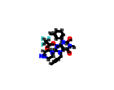 CC#CCN1c2c(n(-c3cccc(C)c3)c(=O)n(C)c2=O)N(OC(=O)C(F)(F)F)C1N1CCNCC1